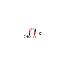 C[O-].O=CO.[K+]